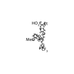 CCOC(Cc1ccc(OCCN(CCCCC(F)(F)C(F)(F)F)C(=O)Oc2cccc(OC)c2)cc1)C(=O)O